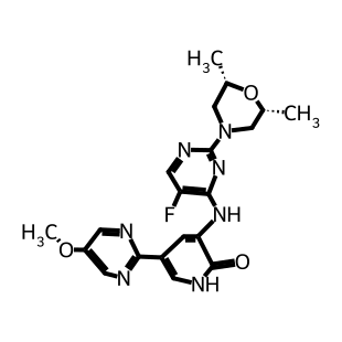 COc1cnc(-c2c[nH]c(=O)c(Nc3nc(N4C[C@@H](C)O[C@@H](C)C4)ncc3F)c2)nc1